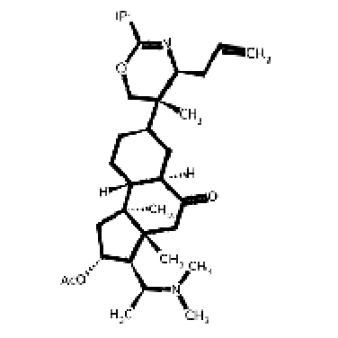 C=CC[C@@H]1N=C(C(C)C)OC[C@@]1(C)[C@@H]1CC[C@@H]2[C@@H](C1)C(=O)C[C@]1(C)[C@@H]([C@H](C)N(C)C)[C@H](OC(C)=O)C[C@@]21C